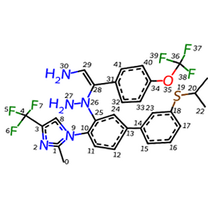 Cc1nc(C(F)(F)F)cn1-c1ccc(-c2cccc(SC(C)C)c2)cc1N(N)/C(=C\N)c1ccc(OC(F)(F)F)cc1